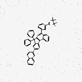 CC1(C)N=C(c2cccc(-c3cc4c(c5ccccc35)-c3ccc(-c5ccc6ccccc6c5)cc3C4(c3ccccc3)c3ccccc3)c2)SC1(C)C